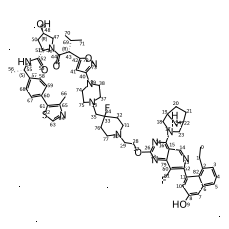 CCc1cccc2cc(O)cc(-c3ncc4c(N5CC6CCC(C5)N6)nc(OCCN5CCC(F)(CN6CCN(c7cc([C@H](C(=O)N8C[C@H](O)C[C@H]8C(=O)N[C@@H](C)c8ccc(-c9scnc9C)cc8)C(C)C)on7)CC6)CC5)nc4c3F)c12